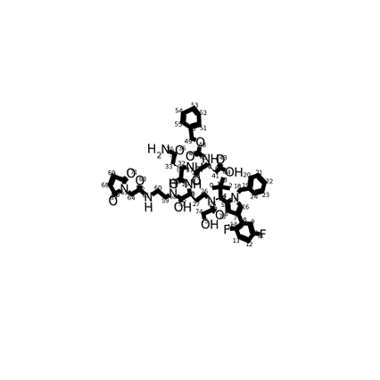 CC(C)(C)[C@H](c1cc(-c2cc(F)ccc2F)cn1Cc1ccccc1)N(CC[C@H](NC(=O)[C@H](CC(N)=O)NC(=O)[C@@H](CC(=O)O)NC(=O)OCc1ccccc1)C(O)NCCNC(=O)CN1C(=O)C=CC1=O)C(=O)CO